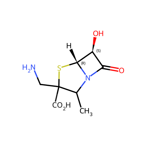 CC1N2C(=O)[C@H](O)[C@H]2SC1(CN)C(=O)O